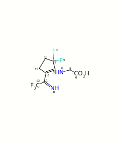 N=C(C1=C(NCC(=O)O)C(F)(F)CC1)C(F)(F)F